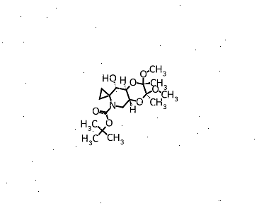 CO[C@@]1(C)O[C@@H]2[C@@H](O)C3(CC3)N(C(=O)OC(C)(C)C)C[C@H]2O[C@]1(C)OC